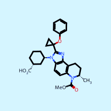 COC(=O)N1c2ccc3c(nc(C4(Oc5ccccc5)CC4)n3[C@@H]3CCC[C@@H](C(=O)O)C3)c2CC[C@@H]1C